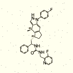 C[C@H]1C2=CNN(c3ccc(F)cc3)C2=CC2=C1[C@@H](CC(NC(=O)NCc1ncccc1F)c1ccccc1)CC2